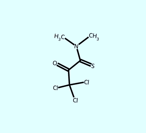 CN(C)C(=S)C(=O)C(Cl)(Cl)Cl